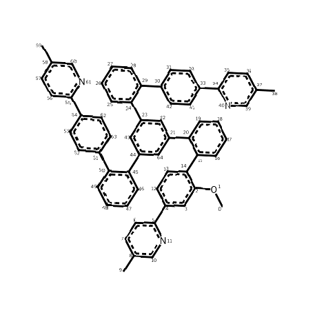 COc1cc(-c2ccc(C)cn2)ccc1-c1ccccc1-c1cc(-c2ccccc2-c2ccc(-c3ccc(C)cn3)cc2)cc(-c2ccccc2-c2ccc(-c3ccc(C)cn3)cc2)c1